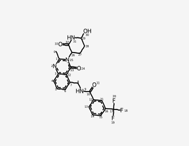 Cc1nc2cccc(CNC(=O)c3cccc(C(F)(F)F)c3)c2c(=O)n1C1CCC(O)NC1=O